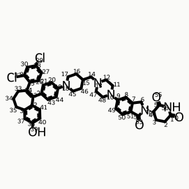 O=C1CC[C@H](N2Cc3cc(N4CCN(CC5CCN(c6ccc(C7=C(c8ccc(Cl)cc8Cl)CCCc8cc(O)ccc87)cc6)CC5)CC4)ccc3C2=O)C(=O)N1